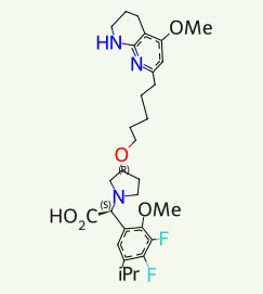 COc1cc(CCCCCO[C@@H]2CCN([C@H](C(=O)O)c3cc(C(C)C)c(F)c(F)c3OC)C2)nc2c1CCCN2